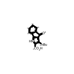 CCCCc1c(C(=O)O)[nH]c2c1C(=O)c1ccccc1-2